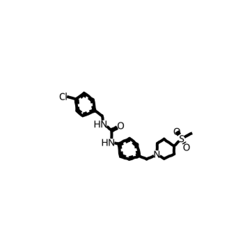 CS(=O)(=O)C1CCN(Cc2ccc(NC(=O)NCc3ccc(Cl)cc3)cc2)CC1